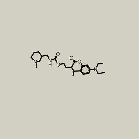 CCN(CC)c1ccc2c(c1)OC(=O)C(CCOC(=O)NCC1CCCNC1)C2C